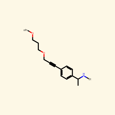 CCCOCCCOCC#Cc1ccc(C(C)NCC)cc1